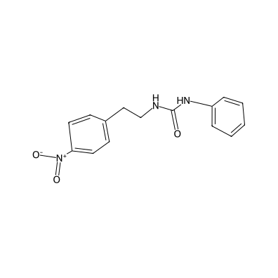 O=C(NCCc1ccc([N+](=O)[O-])cc1)Nc1ccccc1